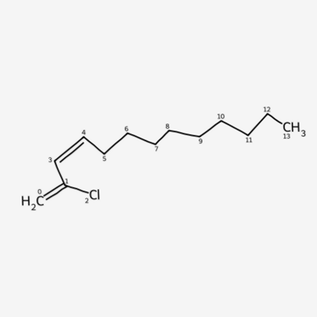 C=C(Cl)/C=C\CCCCCCCCC